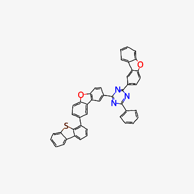 c1ccc(-c2nc(-c3ccc4oc5ccccc5c4c3)nc(-c3ccc4oc5ccc(-c6cccc7c6sc6ccccc67)cc5c4c3)n2)cc1